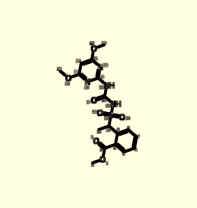 COC(=O)c1ccccc1C(C)S(=O)(=O)NC(=O)Nc1nc(OC)cc(OC)n1